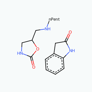 CCCCCNCC1CNC(=O)O1.O=C1Cc2ccccc2N1